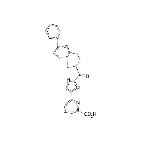 O=C(O)c1cccc(-c2cnc(C(=O)C3CCc4cc(-c5ccccc5)ccc4C3)o2)n1